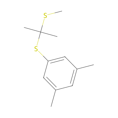 CSC(C)(C)Sc1cc(C)cc(C)c1